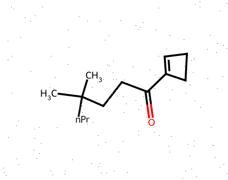 CCCC(C)(C)CCC(=O)C1=CCC1